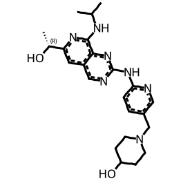 CC(C)Nc1nc([C@@H](C)O)cc2cnc(Nc3ccc(CN4CCC(O)CC4)cn3)nc12